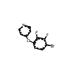 Fc1c(Br)ccc(Oc2ccncc2)c1F